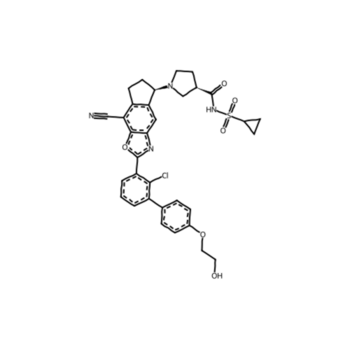 N#Cc1c2c(cc3nc(-c4cccc(-c5ccc(OCCO)cc5)c4Cl)oc13)[C@H](N1CC[C@@H](C(=O)NS(=O)(=O)C3CC3)C1)CC2